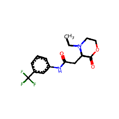 CCN1CCOC(=O)C1CC(=O)Nc1cccc(C(F)(F)F)c1